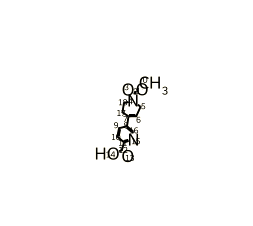 COC(=O)N1CC=C(c2ccc(C(=O)O)nc2)CC1